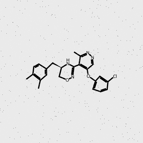 Cc1ccc(C[C@@H]2CON=C(c3c(Oc4cccc(Cl)c4)cnnc3C)N2)cc1C